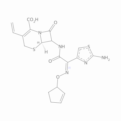 C=CC1=C(C(=O)O)N2C(=O)C(NC(=O)/C(=N\OC3C=CCC3)c3csc(N)n3)[C@H]2SC1